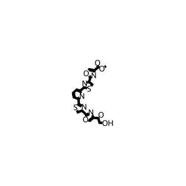 COC(=O)c1coc(C2CSC(c3cccc(C4=NC(c5nc(C(=O)CO)co5)CS4)n3)=N2)n1